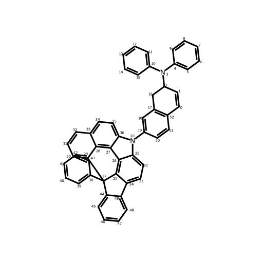 C1=CC(N(c2ccccc2)c2ccccc2)Cc2cc(-n3c4ccc5c6c4c4c7c(cccc7ccc43)C6(c3ccccc3)c3ccccc3-5)ccc21